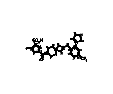 Cc1cn(C(=O)N2CCC3(CC2)CN(Cc2ccc(C(F)(F)F)cc2[N+]2=CCCC2)C3)nc1C(=O)O